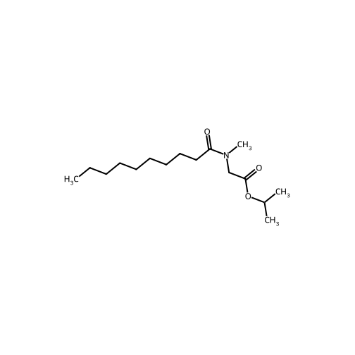 CCCCCCCCCC(=O)N(C)CC(=O)OC(C)C